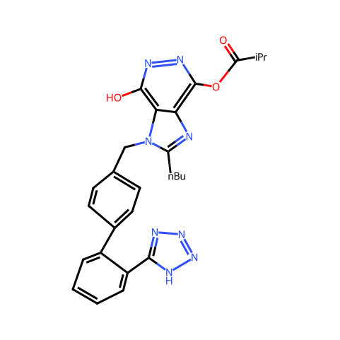 CCCCc1nc2c(OC(=O)C(C)C)nnc(O)c2n1Cc1ccc(-c2ccccc2-c2nnn[nH]2)cc1